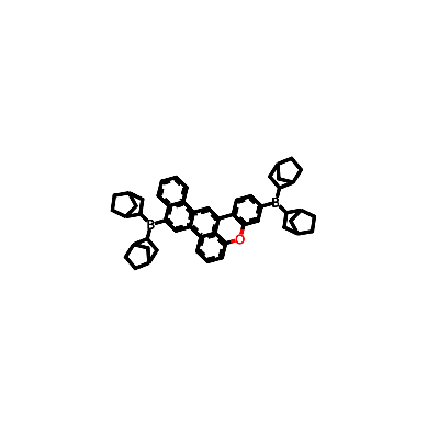 c1ccc2c(c1)c(B(C1CC3CCC1C3)C1CC3CCC1C3)cc1c3cccc4c3c(cc21)-c1ccc(B(C2CC3CCC2C3)C2CC3CCC2C3)cc1O4